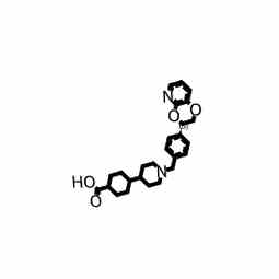 O=C(O)C1CCC(C2CCN(Cc3ccc([C@H]4COc5cccnc5O4)cc3)CC2)CC1